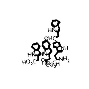 N[C@@H](Cc1c[nH]c2ccccc12)C(=O)O.O=C(O)C(=O)Cc1cc2ccccc2[nH]1.O=C(O)Cc1cc2ccccc2[nH]1.O=CCc1cc2ccccc2[nH]1